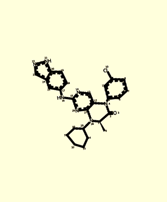 C[C@@H]1C(=O)N(c2cccc(Cl)c2)c2cnc(Nc3ccc4[nH]ncc4c3)nc2N1C1CCCCC1